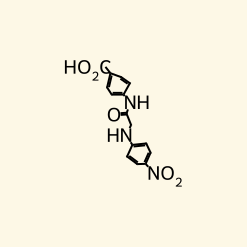 O=C(CNc1ccc([N+](=O)[O-])cc1)Nc1ccc(C(=O)O)cc1